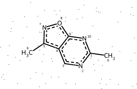 Cc1ncc2c(C)noc2n1